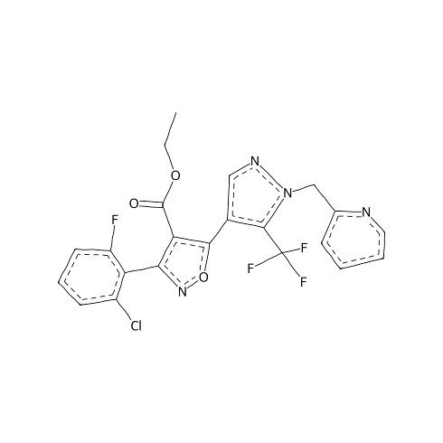 CCOC(=O)c1c(-c2c(F)cccc2Cl)noc1-c1cnn(Cc2ccccn2)c1C(F)(F)F